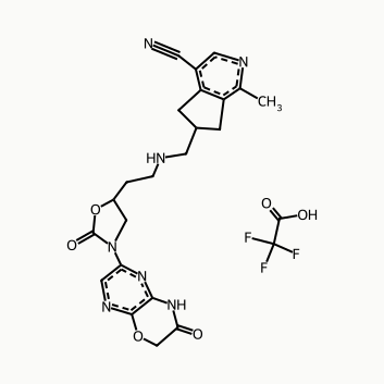 Cc1ncc(C#N)c2c1CC(CNCCC1CN(c3cnc4c(n3)NC(=O)CO4)C(=O)O1)C2.O=C(O)C(F)(F)F